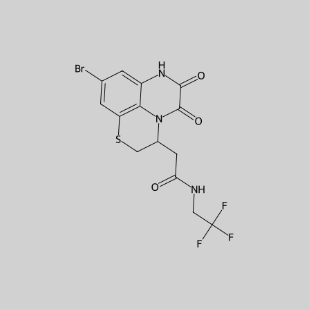 O=C(CC1CSc2cc(Br)cc3[nH]c(=O)c(=O)n1c23)NCC(F)(F)F